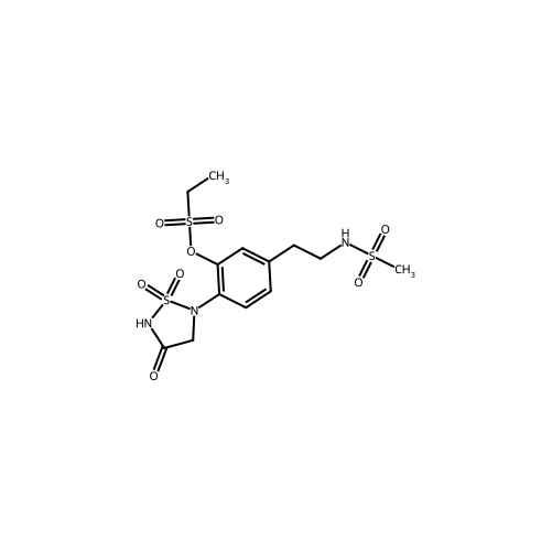 CCS(=O)(=O)Oc1cc(CCNS(C)(=O)=O)ccc1N1CC(=O)NS1(=O)=O